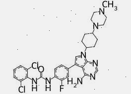 CN1CCN(C2CCC(n3cc(-c4ccc(NC(=O)Nc5c(Cl)cccc5Cl)c(F)c4)c4c(N)ncnc43)CC2)CC1